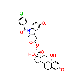 COc1ccc2c(c1)c(CC(=O)OCC(=O)[C@@]1(O)CCC3C4CCC5=CC(=O)C=C[C@]5(C)C4[C@@H](O)C[C@@]31C)c(C)n2C(=O)c1ccc(Cl)cc1